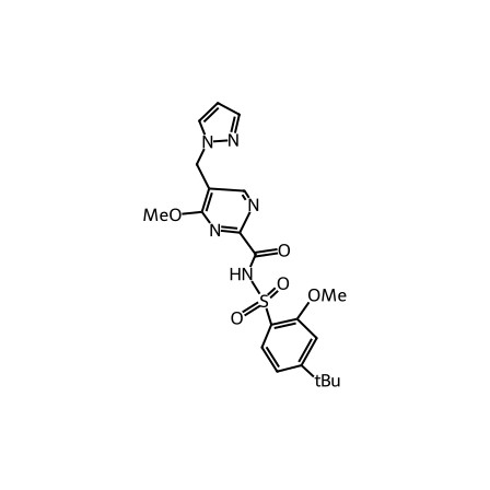 COc1cc(C(C)(C)C)ccc1S(=O)(=O)NC(=O)c1ncc(Cn2cccn2)c(OC)n1